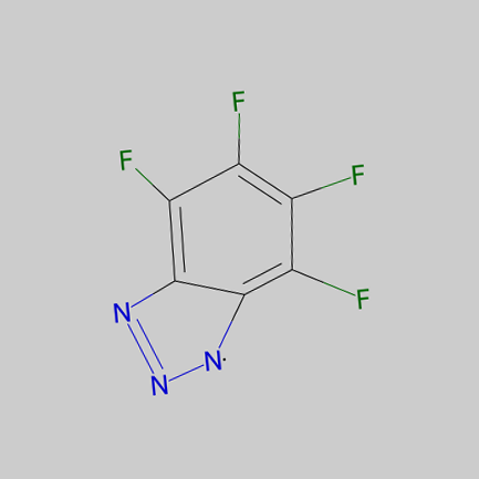 Fc1c(F)c(F)c2c(c1F)[N]N=N2